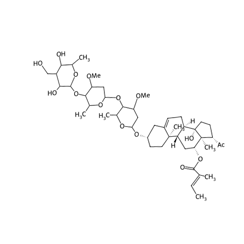 C/C=C(\C)C(=O)O[C@@H]1C[C@H]2[C@@H](CC=C3C[C@@H](OC4CC(OC)C(OC5CC(OC)C(OC6OC(C)C(O)C(CO)C6O)C(C)O5)C(C)O4)CC[C@@]32C)[C@@]2(O)CC[C@H](C(C)=O)[C@@]12C